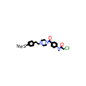 CSc1ccc(CCN2CCN(C(=O)c3ccc(N(C)C(=O)CCl)cc3)CC2)cc1